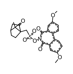 COc1ccc2c(c1)c(=O)n(OS(=O)(=O)CC13CCC(CC1=O)C3(C)C)c(=O)c1cc(OC)ccc12